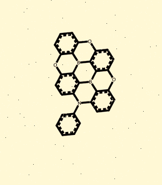 c1ccc(N2c3cccc4c3B3c5c(ccc6c5B5c7c(cccc7Oc7ccc2c3c75)O6)O4)cc1